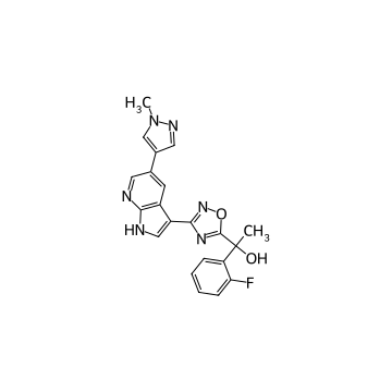 Cn1cc(-c2cnc3[nH]cc(-c4noc(C(C)(O)c5ccccc5F)n4)c3c2)cn1